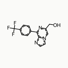 OCc1cn2ccnc2c(-c2ccc(C(F)(F)F)cc2)n1